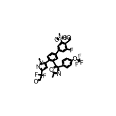 Cc1nc(-c2ccc(OC(F)(F)F)cc2)c(-c2cc(-c3cc(F)c(CO)c(S(C)(=O)=O)c3)ccc2-c2cc(C(F)(F)C=O)nn2C)o1